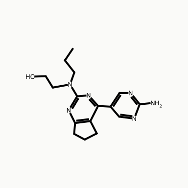 CCCN(CCO)c1nc2c(c(-c3cnc(N)nc3)n1)CCC2